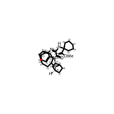 COC(=O)C1(Nc2nc3ccccc3n([C@@H]3C[C@@H]4CCC3N4C3CCCCCCC3)c2=O)CCCCC1